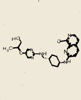 CC(CO)Oc1cnc(NC[C@H]2CC[C@H](Nc3ccc4ccnc(Cl)c4n3)CC2)nc1